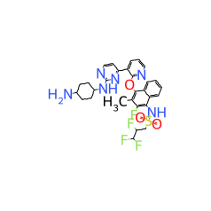 Cc1c(F)c(NS(=O)(=O)CC(F)C(F)F)c2ccccc2c1Oc1ncccc1-c1ccnc(NC2CCC(N)CC2)n1